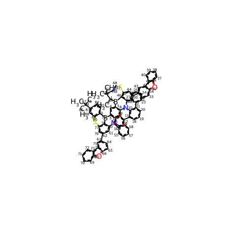 C[C@@H]1B2c3cc4c(cc3N(c3c(-c5ccccc5)cccc3-c3ccccc3)c3cc(-c5ccc6oc7ccccc7c6c5)cc(c32)S/C=C/C1(C)C)N(c1ccccc1)c1cc(-c2ccc3oc5ccccc5c3c2)cc2c1B4c1ccc(C(C)(C)C)cc1S2